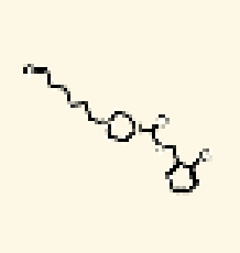 O=[C]CCCCCN1CCN(C(=O)OCc2ccccc2Cl)CC1